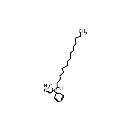 CCCCCCCCCCCCCCCC(Cl)[N+](C)(C=O)c1ccccc1